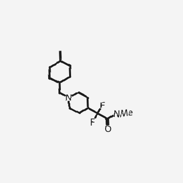 CNC(=O)C(F)(F)C1CCN(CC2CCC(C)CC2)CC1